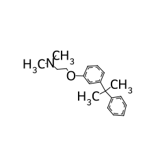 CN(C)CCOc1cccc(C(C)(C)c2ccccc2)c1